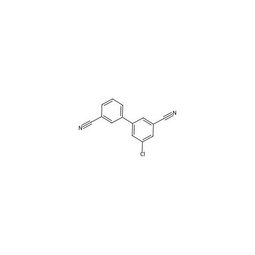 N#Cc1cccc(-c2cc(Cl)cc(C#N)c2)c1